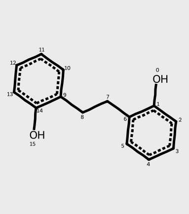 Oc1ccccc1CCc1ccccc1O